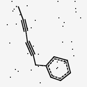 [CH2]C#CC#CCc1ccccc1